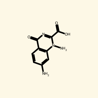 Nc1ccc2c(=O)nc(C(=O)O)n(N)c2c1